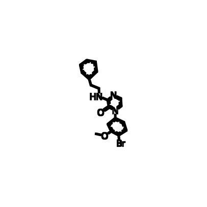 COc1cc(-n2ccnc(NCCc3ccccc3)c2=O)ccc1Br